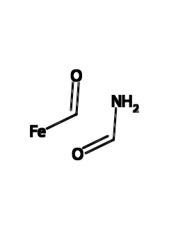 NC=O.O=[CH][Fe]